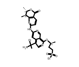 CCC(C)(N)c1cnc(O[C@@H](C)CCS(=O)(=O)CC)c2cnc(Nc3ccc4c(n3)[C@@H](C)[C@H](C)OC4=O)cc12